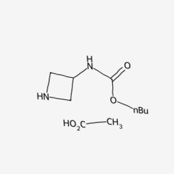 CC(=O)O.CCCCOC(=O)NC1CNC1